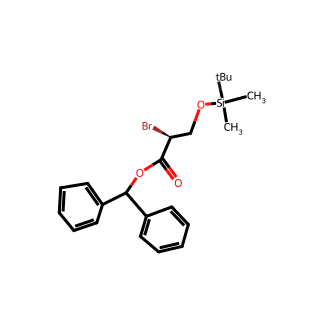 CC(C)(C)[Si](C)(C)OC[C@H](Br)C(=O)OC(c1ccccc1)c1ccccc1